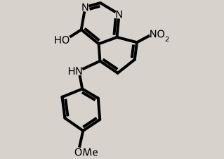 COc1ccc(Nc2ccc([N+](=O)[O-])c3ncnc(O)c23)cc1